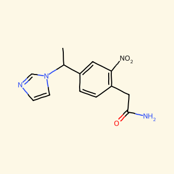 CC(c1ccc(CC(N)=O)c([N+](=O)[O-])c1)n1ccnc1